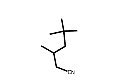 CC(CC#N)CC(C)(C)C